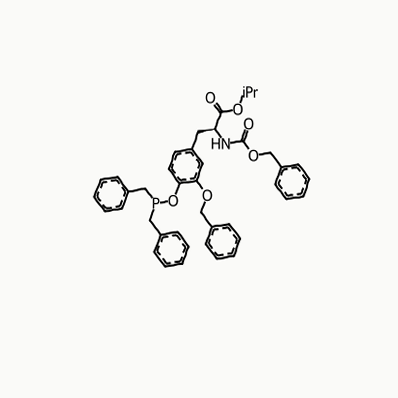 CC(C)OC(=O)[C@H](Cc1ccc(OP(Cc2ccccc2)Cc2ccccc2)c(OCc2ccccc2)c1)NC(=O)OCc1ccccc1